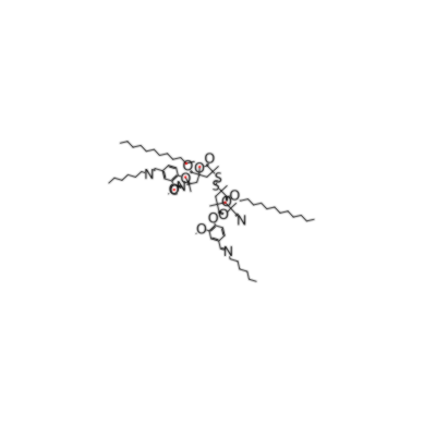 [C-]#[N+]C(C)(C)CC(C)(CC(C)(SSC(C)(CC(C)(CC(C)(C)C#N)C(=O)Oc1ccc(/C=N/CCCCCC)cc1OC)C(=O)OCCCCCCCCCCCC)C(=O)OCCCCCCCCCCCC)C(=O)Oc1ccc(/C=N/CCCCCC)cc1OC